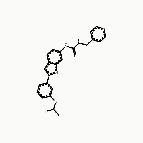 O=C(NCc1ccncc1)Nc1ccc2cn(-c3cccc(OC(F)F)c3)nc2c1